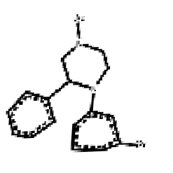 CC(=O)N1CCN(c2cccc(C(C)C)c2)C(c2ccccc2)C1